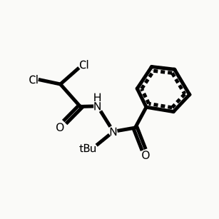 CC(C)(C)N(NC(=O)C(Cl)Cl)C(=O)c1ccccc1